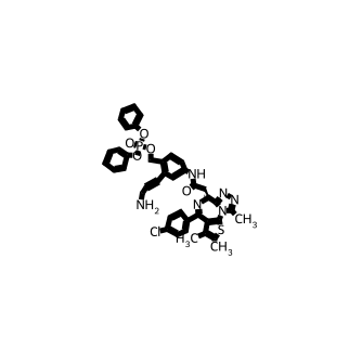 Cc1sc2c(c1C)C(c1ccc(Cl)cc1)=N[C@@H](CC(=O)Nc1ccc(COP(=O)(Oc3ccccc3)Oc3ccccc3)c(C#CCN)c1)c1nnc(C)n1-2